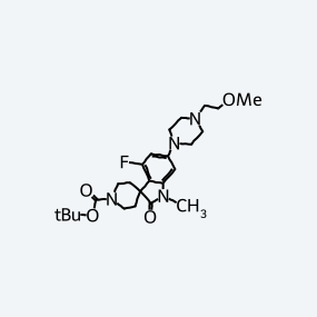 COCCN1CCN(c2cc(F)c3c(c2)N(C)C(=O)C32CCN(C(=O)OC(C)(C)C)CC2)CC1